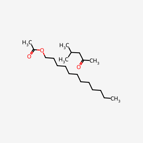 CC(=O)CC(C)C.CCCCCCCCCCCCOC(C)=O